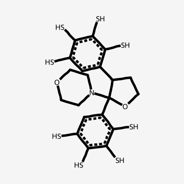 Sc1cc([C]2CCOC2(c2cc(S)c(S)c(S)c2S)N2CCOCC2)c(S)c(S)c1S